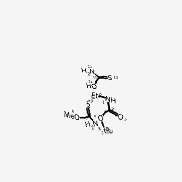 CCNC(=O)OC(C)(C)C.COC(N)=S.NC(O)=S